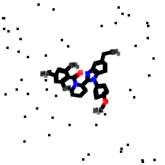 CCc1ccc2c(c1)nc(C1CCCCN1C(=O)c1c(C)cc(C)cc1C)n2-c1ccc(OC)cc1